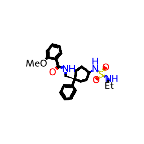 CCNS(=O)(=O)N[C@H]1CC[C@](CNC(=O)c2ccccc2OC)(c2ccccc2)CC1